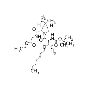 CCCCC=CCO[C@@H](C)[C@H](NC(=O)OC(C)(C)C)C(=O)N1C[C@H]2[C@@H]([C@H]1C(=O)NCC(=O)OCC)C2(C)C